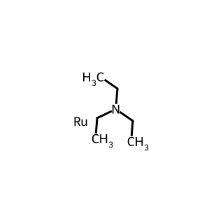 CCN(CC)CC.[Ru]